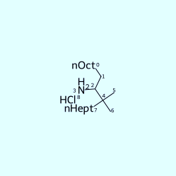 CCCCCCCCCC(N)C(C)(C)CCCCCCC.Cl